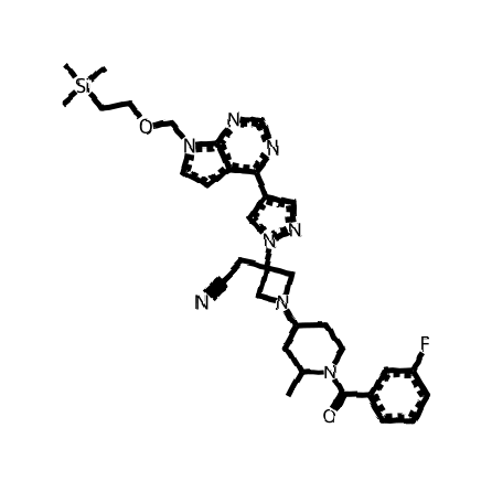 CC1CC(N2CC(CC#N)(n3cc(-c4ncnc5c4ccn5COCC[Si](C)(C)C)cn3)C2)CCN1C(=O)c1cccc(F)c1